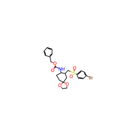 O=C(NC1CCC2(CC1CS(=O)(=O)c1ccc(Br)cc1)OCCO2)OCc1ccccc1